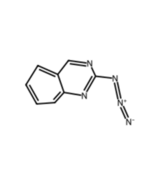 [N-]=[N+]=Nc1ncc2ccccc2n1